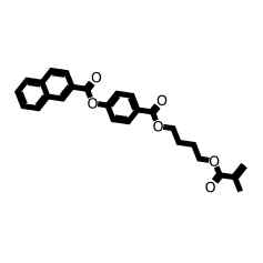 C=C(C)C(=O)OCCCCOC(=O)c1ccc(OC(=O)c2ccc3ccccc3c2)cc1